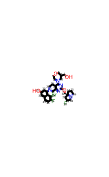 OCC1COCCN(c2nc(OC[C@@]34CCCN3C[C@H](F)C4)nc3c2CCN(c2cc(O)cc4ccc(F)c(Br)c24)C3)C1